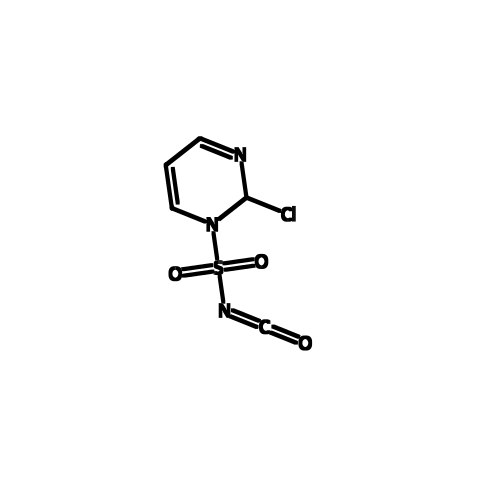 O=C=NS(=O)(=O)N1C=CC=NC1Cl